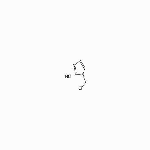 Cl.ClCn1ccnc1